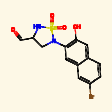 O=CC1CN(c2cc3cc(Br)ccc3cc2O)S(=O)(=O)N1